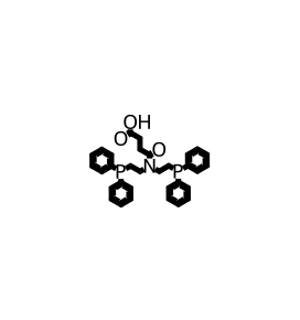 O=C(O)CCC(=O)N(CCP(c1ccccc1)c1ccccc1)CCP(c1ccccc1)c1ccccc1